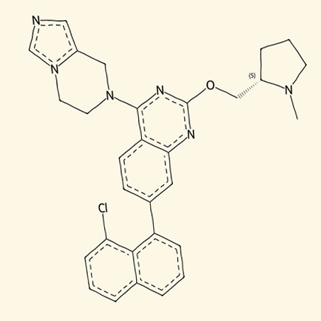 CN1CCC[C@H]1COc1nc(N2CCn3cncc3C2)c2ccc(-c3cccc4cccc(Cl)c34)cc2n1